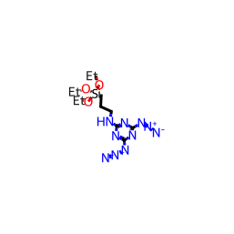 CCO[Si](CCCNc1nc(N=[N+]=[N-])nc(N=[N+]=[N-])n1)(OCC)OCC